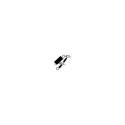 [C]#C.[Cl][Mg][Cl]